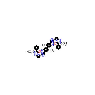 Cc1cc(-c2cnc([C@@H]3CCCN3C(=O)[C@H](NC(=O)O)c3ccccc3)[nH]2)ccc1-c1ccc(-c2cnc([C@@H]3CCCN3C(=O)[C@H](NC(=O)O)c3ccccc3)[nH]2)cc1C